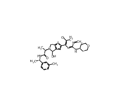 C=N/C(=N\C(=C(/C)Cl)c1cc2c(s1)CN([C@H](C)C(=O)N[C@H](C)c1cccc(C)c1)C2O)NC1CCOCC1